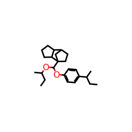 CCC(C)OC(Oc1ccc(C(C)CC)cc1)C12CCC(C1)C1CCCC12